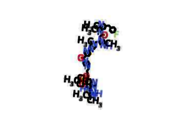 Cc1n[nH]c(Nc2ncnc3cc(OCCCN4CCN(C(=O)c5ccc(N6CCN(C[C@H]7CN[C@H](C)CN7CC(=O)N7CC(C)(C)c8ncc(Cc9ccc(F)cc9)cc87)C(C)C6)nc5)CC4)c(S(=O)(=O)C(C)(C)C)cc23)c1C